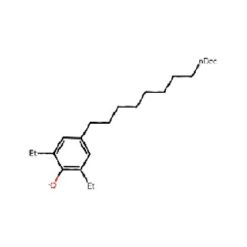 CCCCCCCCCCCCCCCCCCc1cc(CC)c([O])c(CC)c1